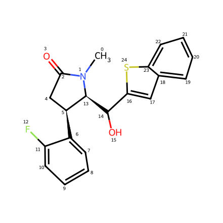 CN1C(=O)C[C@H](c2ccccc2F)[C@@H]1C(O)c1cc2ccccc2s1